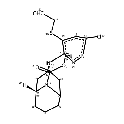 CC(C)(C)OC(=O)N1C2CCC[C@@H]1C[C@@H](Nc1nnc(Cl)cc1SCC=O)C2